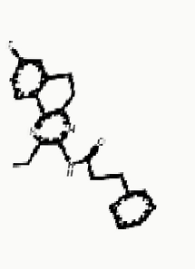 CCc1nc2c(nc1NC(=O)CCc1ccccc1)CCc1cc(F)ccc1-2